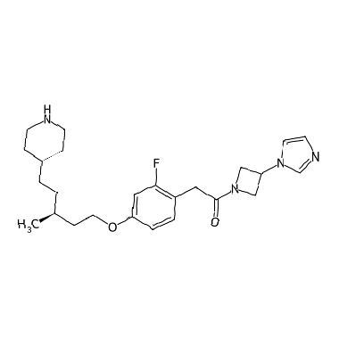 C[C@H](CCOc1ccc(CC(=O)N2CC(n3ccnc3)C2)c(F)c1)CCC1CCNCC1